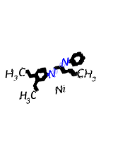 CCCCC(/C=N/c1ccc(CCC)c(CCC)c1)=N\c1ccccc1.[Ni]